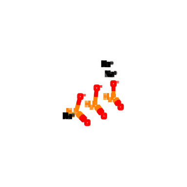 O=[PH2][O-].O=[PH2][O-].O=[PH2][O-].[Na+].[Na+].[Na+]